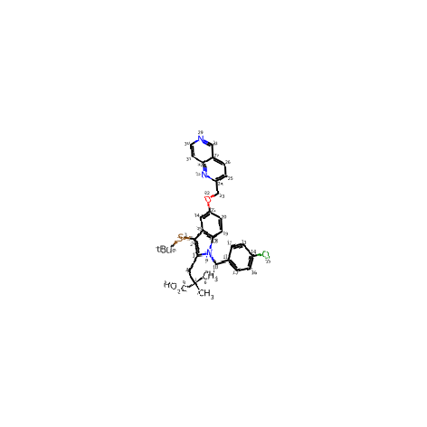 CC(C)(C)Sc1c(CC(C)(C)C(=O)O)n(Cc2ccc(Cl)cc2)c2ccc(OCc3ccc4cnccc4n3)cc12